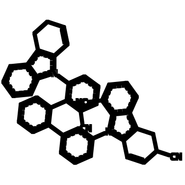 N#Cc1cccc(-n2c3c(c4ccccc42)CCC=C3)c1-c1ccccc1-c1cccc(-n2c3c(c4cccc(C#N)c42)CC(C#N)C=C3)c1